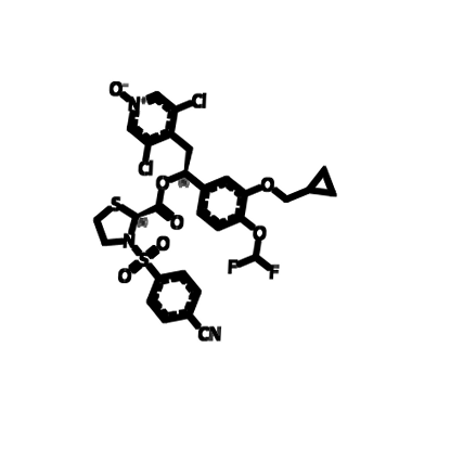 N#Cc1ccc(S(=O)(=O)N2CCS[C@H]2C(=O)O[C@@H](Cc2c(Cl)c[n+]([O-])cc2Cl)c2ccc(OC(F)F)c(OCC3CC3)c2)cc1